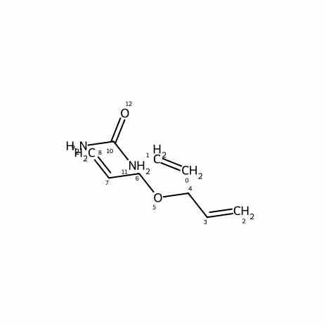 C=C.C=CCOCC=C.NC(N)=O